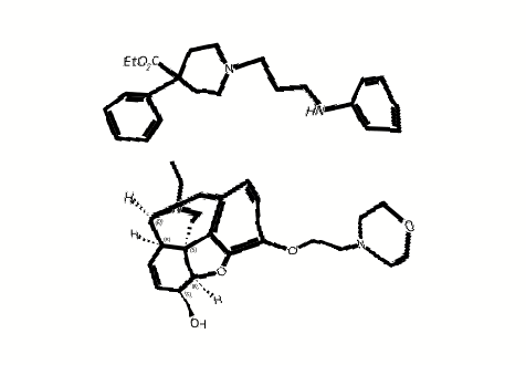 CCOC(=O)C1(c2ccccc2)CCN(CCCNc2ccccc2)CC1.CN1CC[C@]23c4c5ccc(OCCN6CCOCC6)c4O[C@H]2[C@@H](O)C=C[C@H]3[C@H]1C5